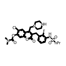 CCCS(=O)(=O)Nc1cccc(Cc2c(CN3CCNCC3)c3cc(Cl)c(OC(=O)N(C)C)cc3oc2=O)c1F